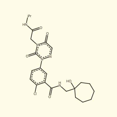 CC(C)NC(=O)Cn1c(=O)cnn(-c2ccc(Cl)c(C(=O)NCC3(O)CCCCCC3)c2)c1=O